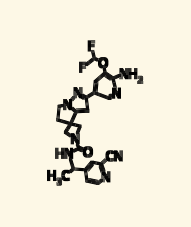 CC(NC(=O)N1CC2(CCn3nc(-c4cnc(N)c(OC(F)F)c4)cc32)C1)c1ccnc(C#N)c1